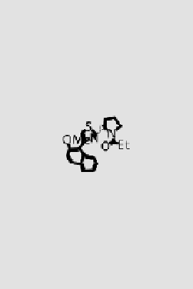 CCC(=O)N1CCC[C@H]1c1nc(-c2c(OC)ccc3ccccc23)cs1